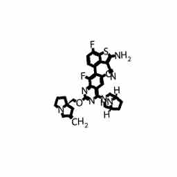 C=C1CN2CCC[C@]2(COc2nc(N3C[C@H]4CC[C@@H](C3)N4)c3cc(Cl)c(-c4ccc(F)c5sc(N)c(C#N)c45)c(F)c3n2)C1